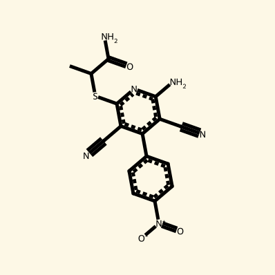 CC(Sc1nc(N)c(C#N)c(-c2ccc([N+](=O)[O-])cc2)c1C#N)C(N)=O